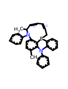 Cc1ccc2c3c1N(c1ccccc1)c1ccccc1B3C/C=C\C=C/C(C)N2c1ccccc1